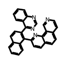 c1ccc2c(-c3ccc4ccc5ccncc5c4n3)c(-c3ncnc4ccccc34)ccc2c1